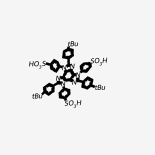 CC(C)(C)c1ccc(-c2nc3c(c4nc(-c5ccc(C(C)(C)C)cc5)n(-c5ccc(S(=O)(=O)O)cc5)c4c4nc(-c5ccc(C(C)(C)C)cc5)n(-c5ccc(S(=O)(=O)O)cc5)c34)n2-c2ccc(S(=O)(=O)O)cc2)cc1